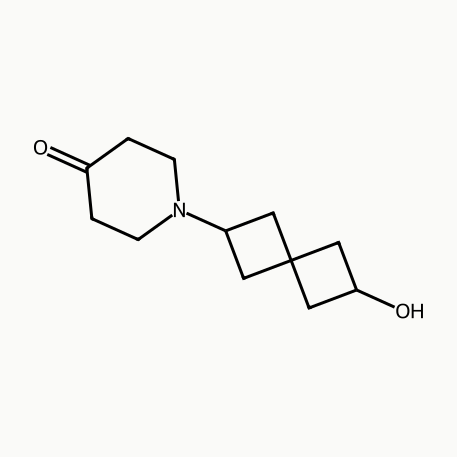 O=C1CCN(C2CC3(CC(O)C3)C2)CC1